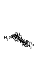 CCC(=O)Cn1c(=O)c2c(ncn2CC(=O)Nc2csc(-c3cnc(C)c(C(C)(F)F)c3)n2)n(C)c1=O